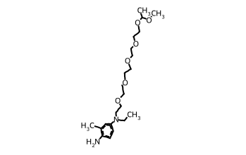 CCN(CCOCCOCCOCCOCCOC(C)OC)c1ccc(N)c(C)c1